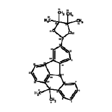 CC1(C)c2ccccc2-n2c3ccc(B4OC(C)(C)C(C)(C)O4)cc3c3cccc1c32